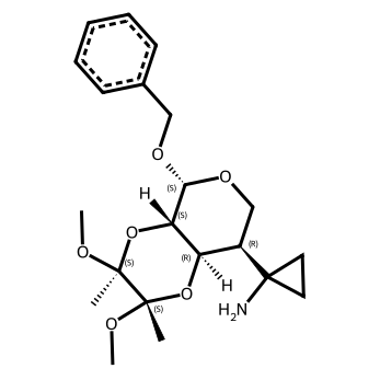 CO[C@@]1(C)O[C@@H]2[C@H](OCc3ccccc3)OC[C@@H](C3(N)CC3)[C@H]2O[C@]1(C)OC